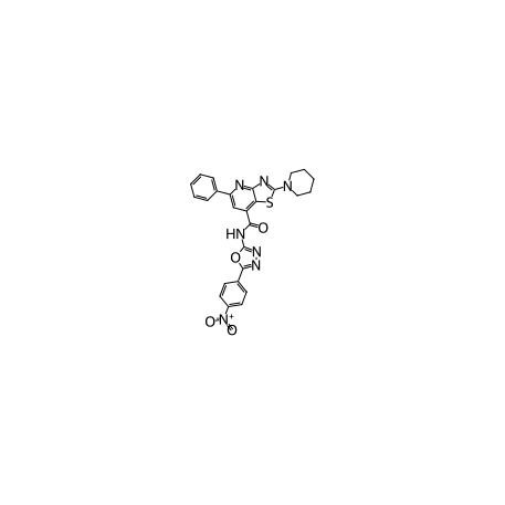 O=C(Nc1nnc(-c2ccc([N+](=O)[O-])cc2)o1)c1cc(-c2ccccc2)nc2nc(N3CCCCC3)sc12